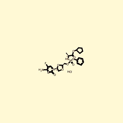 C[C@H](N[P@](=O)(OC[C@H]1OC[C@@H](n2cc(F)c(N)nc2=O)O1)Oc1ccccc1)C(=O)OC1CCCC1.Cl